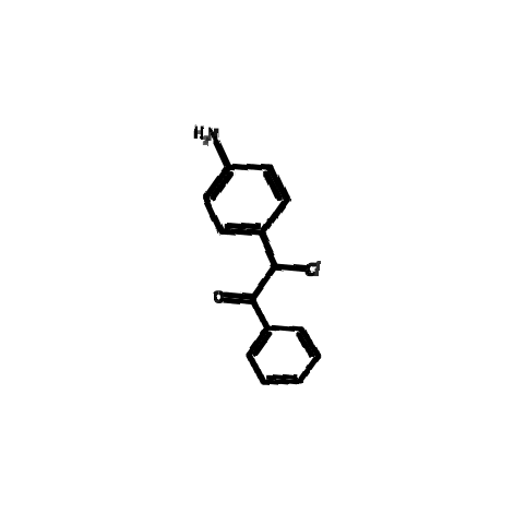 Nc1ccc(C(Cl)C(=O)c2ccccc2)cc1